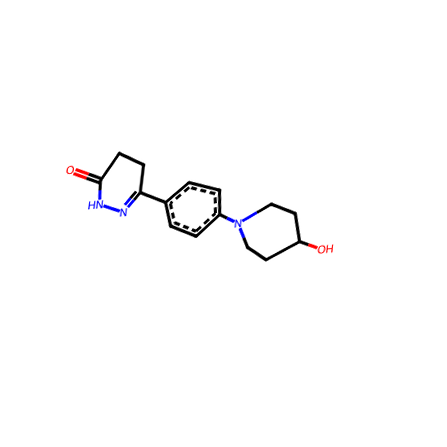 O=C1CCC(c2ccc(N3CCC(O)CC3)cc2)=NN1